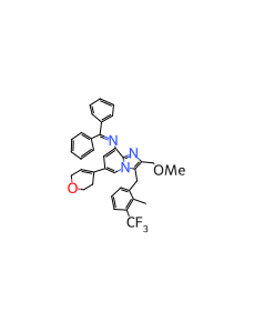 COCc1nc2c(N=C(c3ccccc3)c3ccccc3)cc(C3=CCOCC3)cn2c1Cc1cccc(C(F)(F)F)c1C